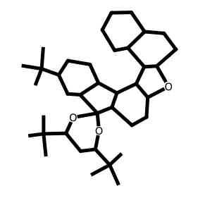 CC(C)(C)C1CCC2C3C4C(CCC3C3(OC(C(C)(C)C)CC(C(C)(C)C)O3)C2C1)OC1CCC2CCCCC2C14